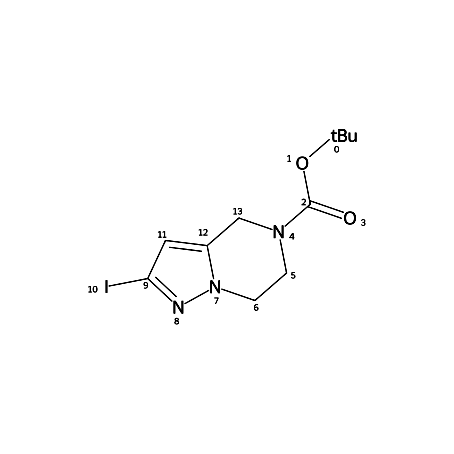 CC(C)(C)OC(=O)N1CCn2nc(I)cc2C1